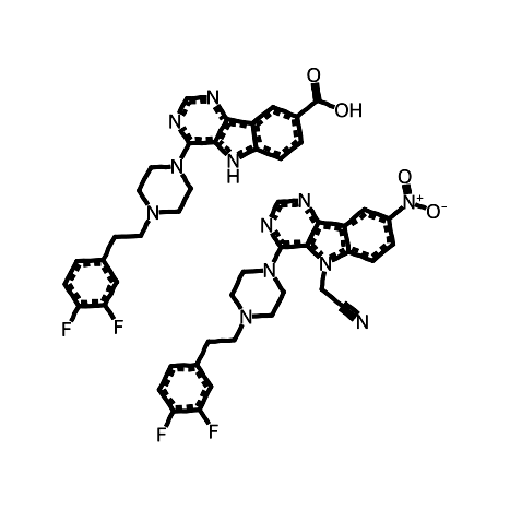 N#CCn1c2ccc([N+](=O)[O-])cc2c2ncnc(N3CCN(CCc4ccc(F)c(F)c4)CC3)c21.O=C(O)c1ccc2[nH]c3c(N4CCN(CCc5ccc(F)c(F)c5)CC4)ncnc3c2c1